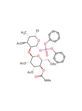 CC[C@@H]1O[C@H](OP(=O)(Oc2ccccc2)Oc2ccccc2)[C@@H](O[C@H]2O[C@H](COC(C)=O)[C@@H](OC(=O)NC)[C@H](OC(C)=O)[C@@H]2OC(C)=O)[C@@H](OC(C)=O)[C@@H]1C